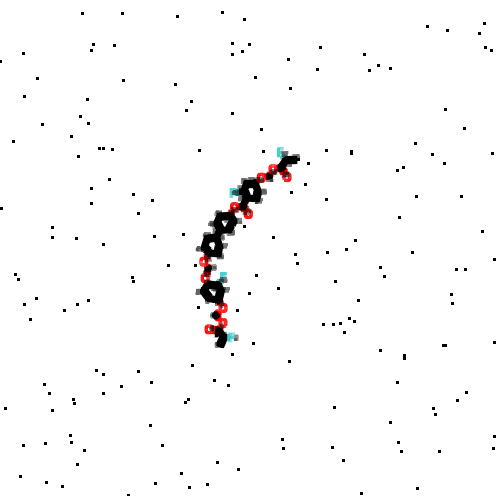 C=C(F)C(=O)OCOc1ccc(OCOc2ccc(-c3ccc(OC(=O)c4ccc(OCOC(=O)C(=C)F)cc4F)cc3)cc2)c(F)c1